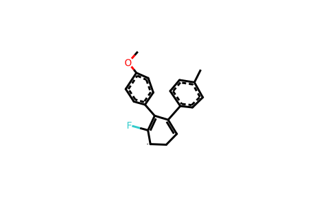 COc1ccc(C2=C(F)[CH]CC=C2c2ccc(C)cc2)cc1